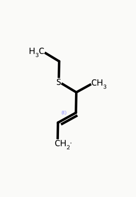 [CH2]/C=C/C(C)SCC